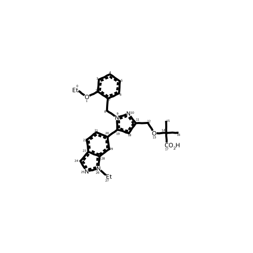 CCOc1ccccc1Cn1nc(COC(C)(C)C(=O)O)cc1-c1ccc2cnn(CC)c2c1